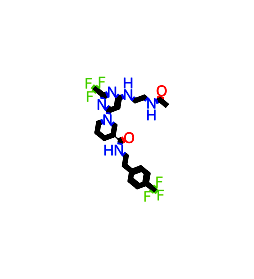 CC(=O)NCCNc1cc(N2CCC[C@@H](C(=O)NCCc3ccc(C(F)(F)F)cc3)C2)nc(C(F)(F)F)n1